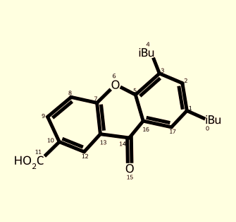 CCC(C)c1cc(C(C)CC)c2oc3ccc(C(=O)O)cc3c(=O)c2c1